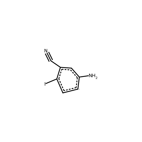 N#Cc1cc(N)[c]cc1I